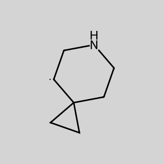 [CH]1CNCCC12CC2